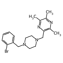 Cc1nc(C)c(CN2CCN(Cc3ccccc3Br)CC2)nc1C